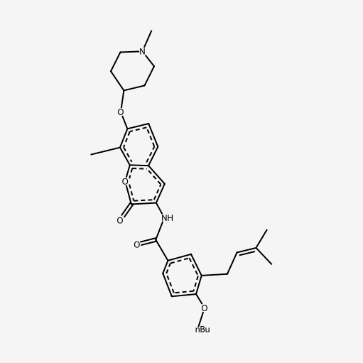 CCCCOc1ccc(C(=O)Nc2cc3ccc(OC4CCN(C)CC4)c(C)c3oc2=O)cc1CC=C(C)C